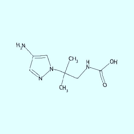 CC(C)(CNC(=O)O)n1cc(N)cn1